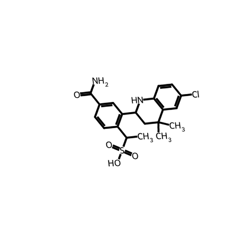 CC(c1ccc(C(N)=O)cc1C1CC(C)(C)c2cc(Cl)ccc2N1)S(=O)(=O)O